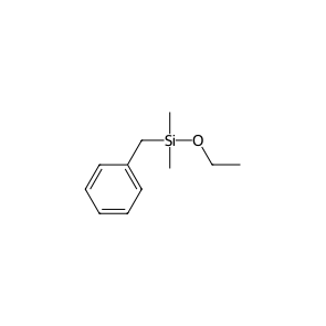 CCO[Si](C)(C)Cc1ccccc1